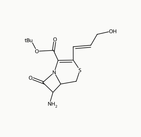 CC(C)(C)OC(=O)C1=C(C=CCO)SCC2C(N)C(=O)N12